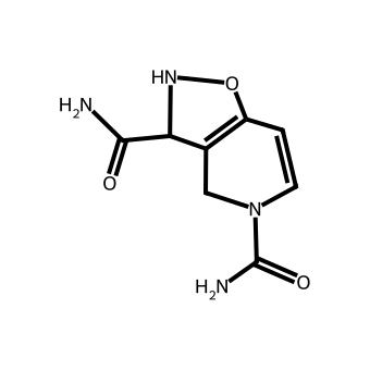 NC(=O)C1NOC2=C1CN(C(N)=O)C=C2